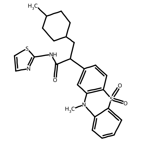 CC1CCC(CC(C(=O)Nc2nccs2)c2ccc3c(c2)N(C)c2ccccc2S3(=O)=O)CC1